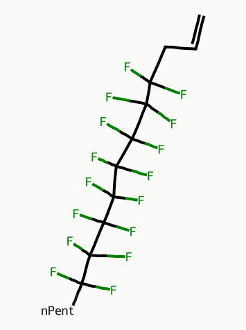 C=CCC(F)(F)C(F)(F)C(F)(F)C(F)(F)C(F)(F)C(F)(F)C(F)(F)C(F)(F)CCCCC